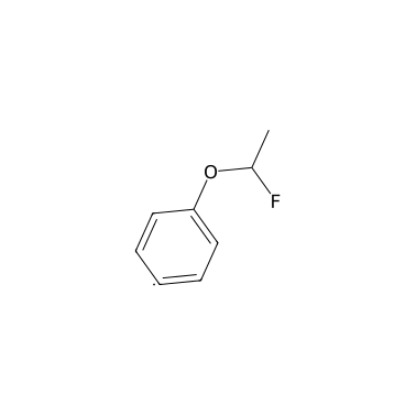 CC(F)Oc1cc[c]cc1